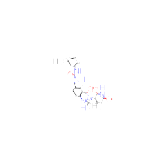 Cc1cccc(NC(=O)NCc2ccc3c(c2)C(=O)N(C2CCC(=O)NC2=O)C(C)N3)c1